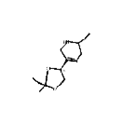 CC1CN=C([C@H]2COC(C)(C)O2)CN1